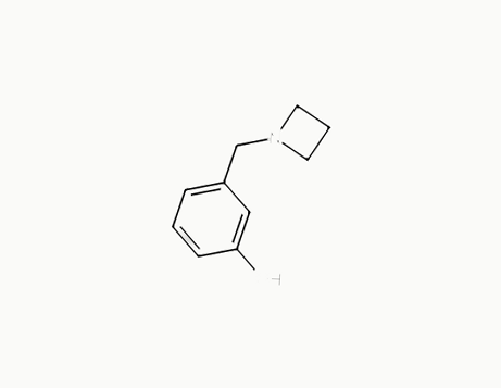 Oc1cccc(CN2CCC2)c1